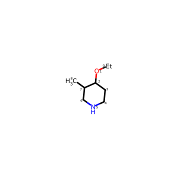 CCOC1CCNCC1C